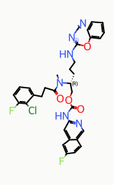 CN(C(=O)CCc1cccc(F)c1Cl)[C@H](CCCN/C(=N/C#N)Oc1ccccc1)COC(=O)Nc1cc2cc(F)ccc2cn1